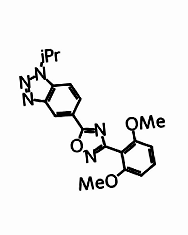 COc1cccc(OC)c1-c1noc(-c2ccc3c(c2)nnn3C(C)C)n1